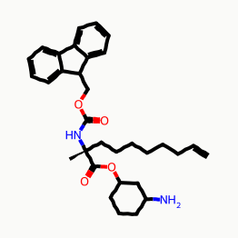 C=CCCCCCC[C@@](C)(NC(=O)OCC1c2ccccc2-c2ccccc21)C(=O)OC1CCCC(N)C1